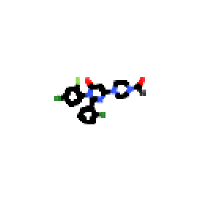 CCC(=O)N1CCN(c2cc(=O)n(-c3ccc(Cl)cc3F)c(-c3ccccc3Cl)n2)CC1